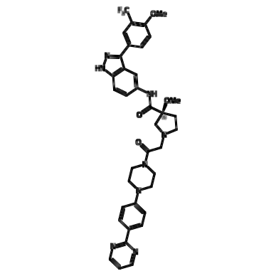 COc1ccc(-c2n[nH]c3ccc(NC(=O)[C@]4(OC)CCN(CC(=O)N5CCN(c6ccc(-c7ncccn7)cc6)CC5)C4)cc23)cc1C(F)(F)F